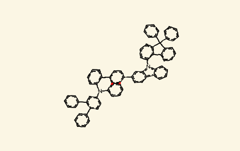 c1ccc(-c2ccc(N(c3ccccc3)c3ccccc3-c3ccc(-c4ccc5c6ccccc6n(-c6cccc7c6-c6ccccc6C7(c6ccccc6)c6ccccc6)c5c4)cc3)cc2-c2ccccc2)cc1